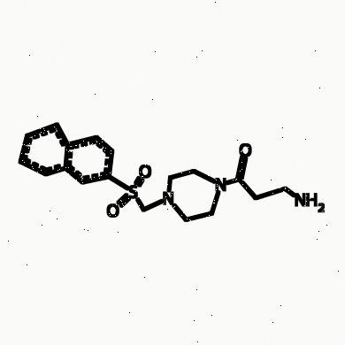 NCCC(=O)N1CCN(CS(=O)(=O)c2ccc3ccccc3c2)CC1